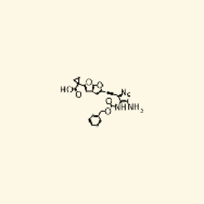 Nc1snc(C#Cc2cc3cc(C4(C(=O)O)CC4)oc3o2)c1NC(=O)OCc1ccccc1